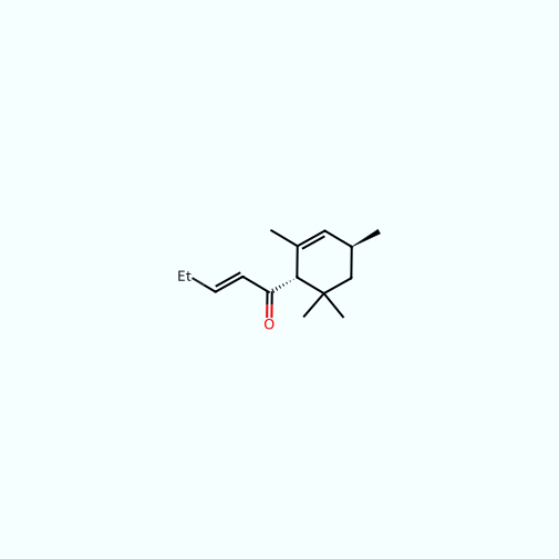 CCC=CC(=O)[C@@H]1C(C)=C[C@@H](C)CC1(C)C